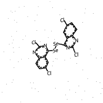 Clc1ccc2nc(Cl)nc([Se][Se]c3nc(Cl)nc4ccc(Cl)cc34)c2c1